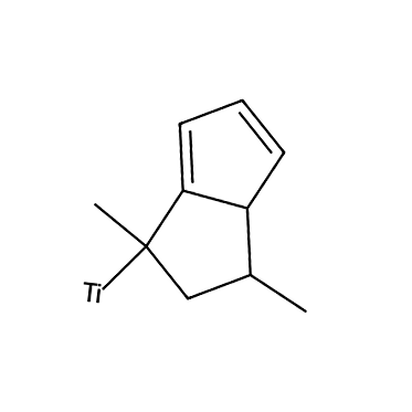 CC1C[C](C)([Ti])C2=CC=CC21